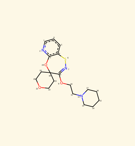 c1cnc2c(c1)SN=C(OCCN1CCCCC1)C1(CCOCC1)O2